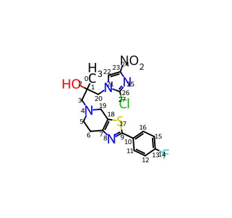 CC(O)(CN1CCc2nc(-c3ccc(F)cc3)sc2C1)Cn1cc([N+](=O)[O-])nc1Cl